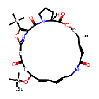 C[C@@H]1/C=C/C(=O)NC/C=C/C=C/C(O[Si](C)(C)C(C)(C)C)CC(=O)Cc2nc(c([Si](C)(C)C)o2)C(=O)N2CCC[C@@H]2C(=O)OC1